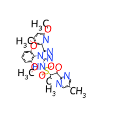 COc1cccc(-c2nnc(NS(=O)(=O)[C@H](C)C(=O)c3ncc(C)cn3)n2-c2c(OC)cccc2OC)n1